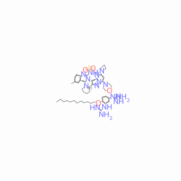 CCCCCCCCCCCCOc1ccc(NC(=N)N)cc1NC(=N)N.Cc1ccc2nc(NS(C)(=O)=O)nc(N3CCCC[C@@H]3c3cc4nc(N5CCC5)cc(N5CCOCC5)n4n3)c2c1